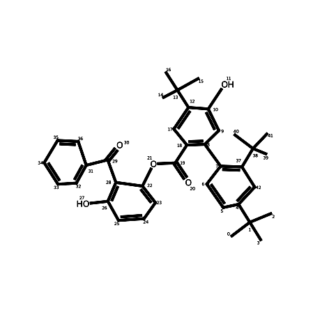 CC(C)(C)c1ccc(-c2cc(O)c(C(C)(C)C)cc2C(=O)Oc2cccc(O)c2C(=O)c2ccccc2)c(C(C)(C)C)c1